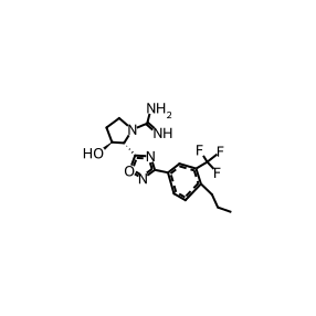 CCCc1ccc(-c2noc([C@@H]3[C@@H](O)CCN3C(=N)N)n2)cc1C(F)(F)F